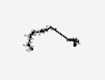 CC(=O)N1c2ccc(C3=CCN(C(=O)COCCOCCOCCOCCOCCC(=O)NCCCN(C)CCCNC(=O)CCNC(=O)c4nc(NC(=O)CCNC(=O)c5cc(NC(=O)c6nc(NC(=O)CCNC(=O)c7cc(NC(=O)c8nccn8C)cn7C)cn6C)cn5C)cn4C)CC3)cc2N(Cc2ccccc2CO)C[C@@H]1C1CC1